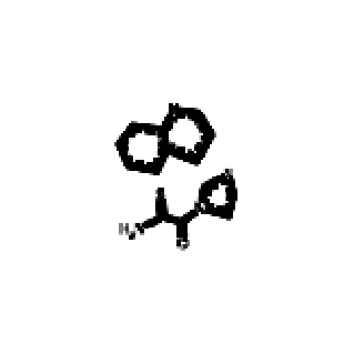 NC(=S)C(=O)n1ccnc1.c1ccc2ncccc2c1